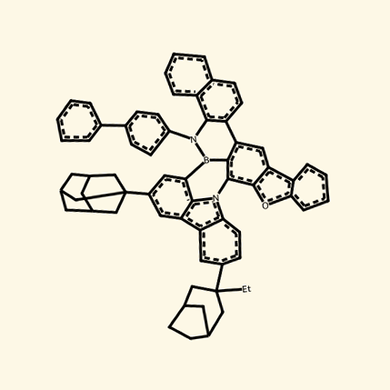 CCC1(c2ccc3c(c2)c2cc(C45CC6CC(CC(C6)C4)C5)cc4c2n3-c2c3c(cc5c2oc2ccccc25)-c2ccc5ccccc5c2N(c2ccc(-c5ccccc5)cc2)B34)CC2CCC(C2)C1